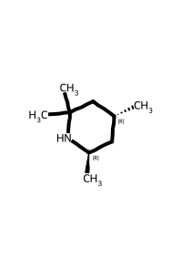 C[C@@H]1C[C@@H](C)NC(C)(C)C1